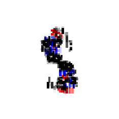 COC(=O)NC(C(=O)N1[C@@H]2CC[C@@H](C2)[C@H]1c1nc2ccc3cc(-c4ccc5c(ccc6nc([C@@H]7CCCN7C(=O)C(NC(=O)O)C(C)C)[nH]c65)c4)ccc3c2[nH]1)C(C)C